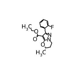 CCOC(=O)c1c(-c2ccccc2F)nn2c1O[C@@H](C)CC2